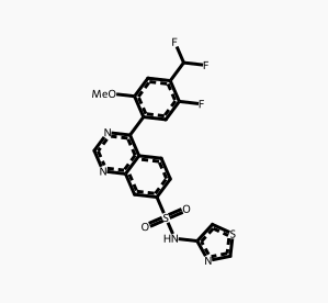 COc1cc(C(F)F)c(F)cc1-c1ncnc2cc(S(=O)(=O)Nc3cscn3)ccc12